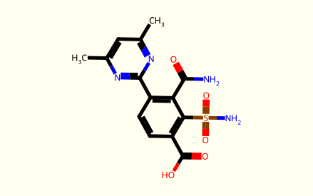 Cc1cc(C)nc(-c2ccc(C(=O)O)c(S(N)(=O)=O)c2C(N)=O)n1